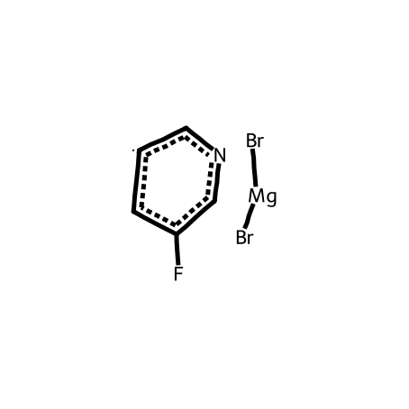 Fc1c[c]cnc1.[Br][Mg][Br]